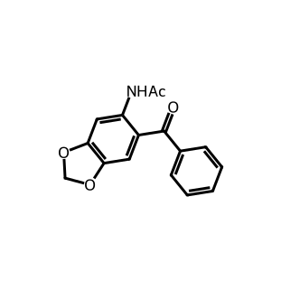 CC(=O)Nc1cc2c(cc1C(=O)c1ccccc1)OCO2